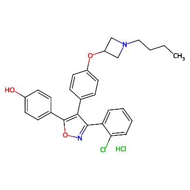 CCCCN1CC(Oc2ccc(-c3c(-c4ccccc4Cl)noc3-c3ccc(O)cc3)cc2)C1.Cl